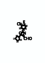 O=Cc1nc(-c2ccc(F)c(Cl)c2)oc1C1CCCC1